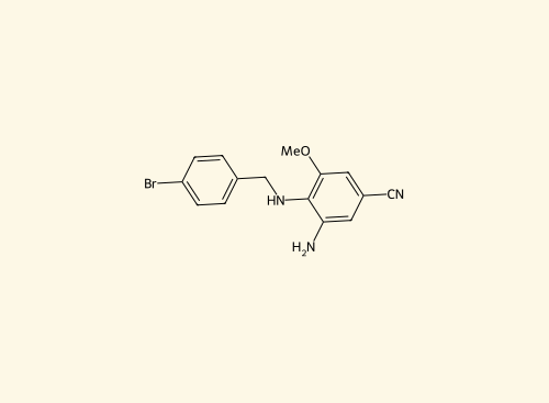 COc1cc(C#N)cc(N)c1NCc1ccc(Br)cc1